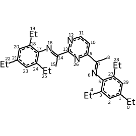 CCc1cc(CC)c(/N=C(\C)c2ccnc(/C(C)=N/c3c(CC)cc(CC)cc3CC)n2)c(CC)c1